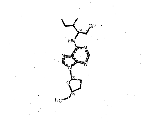 CCC(C)[C@@H](CO)Nc1ncnc2c1ncn2[C@H]1CC[C@@H](CO)O1